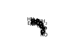 CCC1=CNCC(C2=CCC3[C@]2(CN=[N+]=[N-])CC[C@]2(N)c4ccc(C(=O)N5CCC(N=O)CC5)cc4CC[C@@]32N)=C1